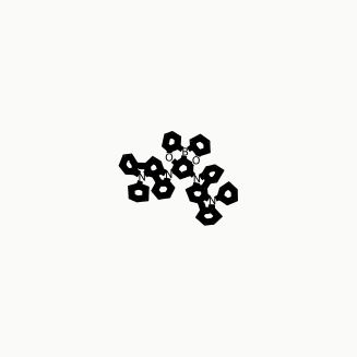 c1ccc(-n2c3ccccc3c3ccc4c(c5ccccc5n4-c4cc(-n5c6ccccc6c6c5ccc5c7ccccc7n(-c7ccccc7)c56)c5c6c4Oc4ccccc4B6c4ccccc4O5)c32)cc1